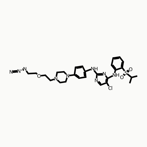 CC(C)S(=O)(=O)c1ccccc1Nc1nc(Nc2ccc(N3CCN(CCOCCN=[N+]=[N-])CC3)cc2)ncc1Cl